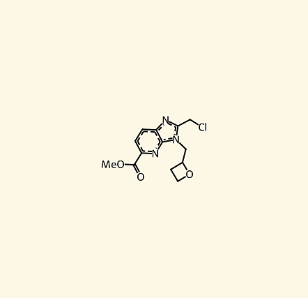 COC(=O)c1ccc2nc(CCl)n(CC3CCO3)c2n1